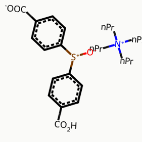 CCC[N+](CCC)(CCC)CCC.O=C([O-])c1ccc([S+]([O-])c2ccc(C(=O)O)cc2)cc1